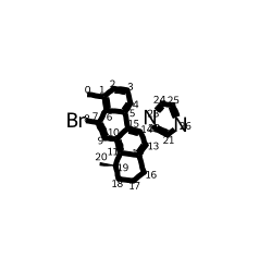 Cc1cccc2c1c(Br)cc1c3c(ccc12)CCC[C@H]3C.c1cnccn1